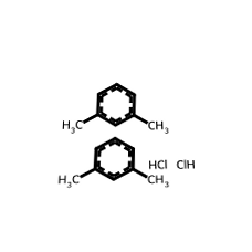 Cc1cccc(C)c1.Cc1cccc(C)c1.Cl.Cl